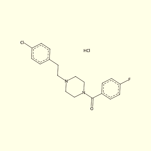 Cl.O=C(c1ccc(F)cc1)N1CCN(CCc2ccc(Cl)cc2)CC1